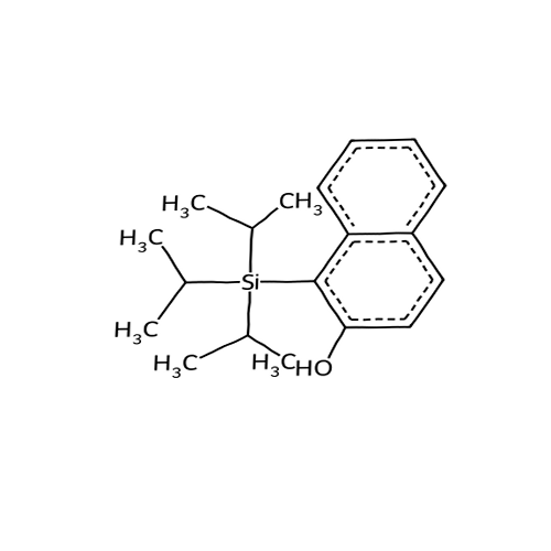 CC(C)[Si](c1c(O)ccc2ccccc12)(C(C)C)C(C)C